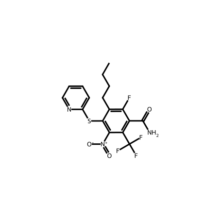 CCCCc1c(F)c(C(N)=O)c(C(F)(F)F)c([N+](=O)[O-])c1Sc1ccccn1